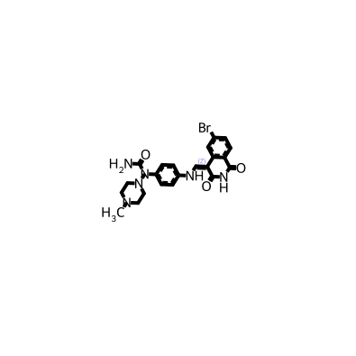 CN1CCN(N(C(N)=O)c2ccc(N/C=C3\C(=O)NC(=O)c4ccc(Br)cc43)cc2)CC1